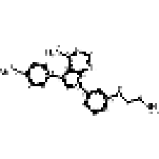 COc1ccc(-c2cn(-c3cccc(OCCN)c3)c3ncnc(N)c23)cc1